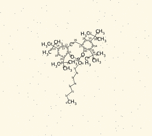 CCCCCCCCOP1Oc2c(cc(C(C)(C)C)cc2C(C)(C)C)CCc2cc(C(C)(C)C)cc(C(C)(C)C)c2O1